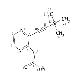 CCCC(=O)Oc1nccnc1C#C[Si](C)(C)C